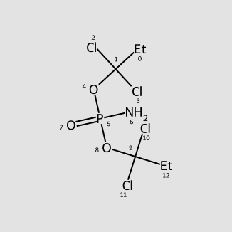 CCC(Cl)(Cl)OP(N)(=O)OC(Cl)(Cl)CC